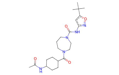 CC(=O)NC1CCC(C(=O)N2CCCN(C(=O)Nc3cc(C(C)(C)C)on3)CC2)CC1